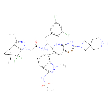 Cn1nc(NS(C)(=O)=O)c2cccc(-c3cc4sc(N5CC6(CCNCC6)C5)nc4nc3[C@H](Cc3cc(F)cc(F)c3)NC(=O)Cn3nc(C(F)(F)F)c4c3C(F)(F)[C@@H]3CC43)c21